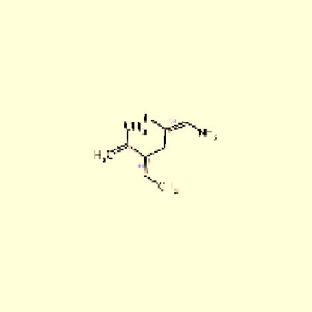 C=C(C)/C(=C/C)C/C(F)=C\N